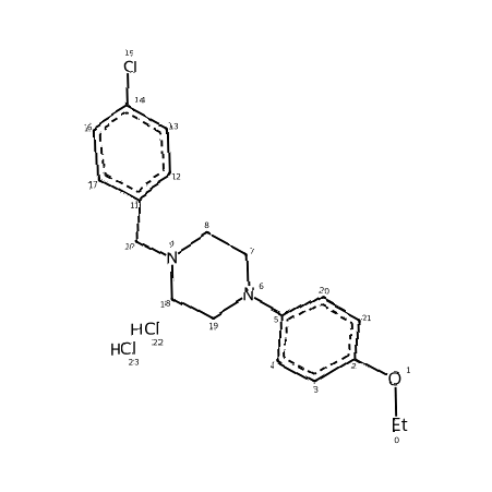 CCOc1ccc(N2CCN(Cc3ccc(Cl)cc3)CC2)cc1.Cl.Cl